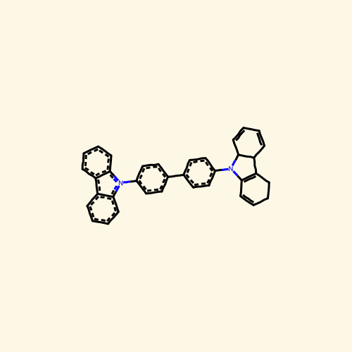 C1=CC2C3=C(C=CCC3)N(c3ccc(-c4ccc(-n5c6ccccc6c6ccccc65)cc4)cc3)C2C=C1